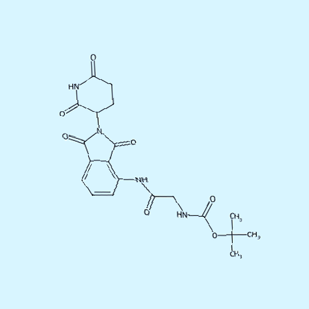 CC(C)(C)OC(=O)NCC(=O)Nc1cccc2c1C(=O)N(C1CCC(=O)NC1=O)C2=O